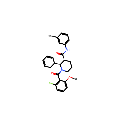 CCOc1cccc(F)c1C(=O)N1CCC[C@H](C(=O)Nc2cccc(C(C)(C)C)c2)[C@@H]1C1C=CC=CC1